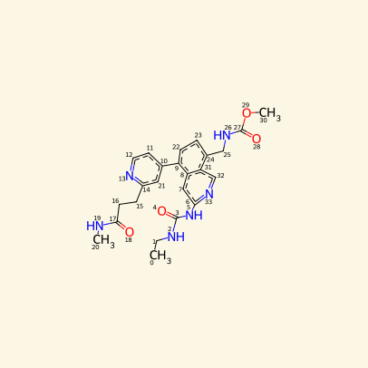 CCNC(=O)Nc1cc2c(-c3ccnc(CCC(=O)NC)c3)ccc(CNC(=O)OC)c2cn1